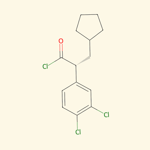 O=C(Cl)[C@H](CC1CCCC1)c1ccc(Cl)c(Cl)c1